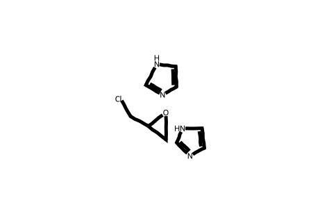 ClCC1CO1.c1c[nH]cn1.c1c[nH]cn1